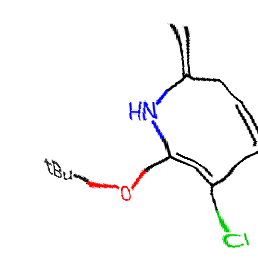 C=C1C=CC(Cl)=C(OC(C)(C)C)N1